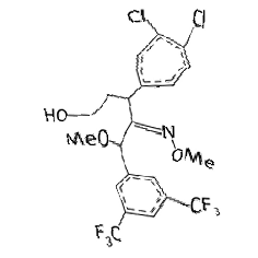 CON=C(C(CCO)c1ccc(Cl)c(Cl)c1)C(OC)c1cc(C(F)(F)F)cc(C(F)(F)F)c1